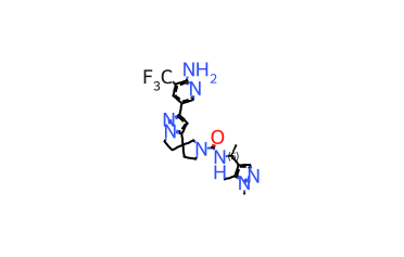 Cc1c([C@H](C)NC(=O)N2CCC3(CCn4nc(-c5cnc(N)c(C(F)(F)F)c5)cc43)C2)cnn1C